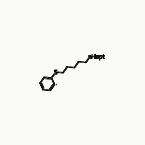 CCCCCCCCCCCCSc1[c]cccc1